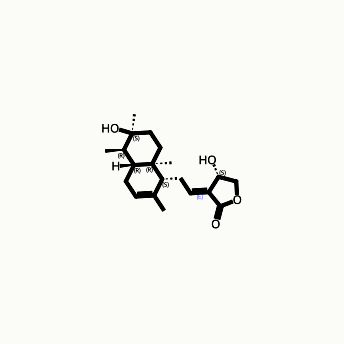 CC1=CC[C@@H]2[C@@H](C)[C@@](C)(O)CC[C@@]2(C)[C@@H]1C/C=C1/C(=O)OC[C@H]1O